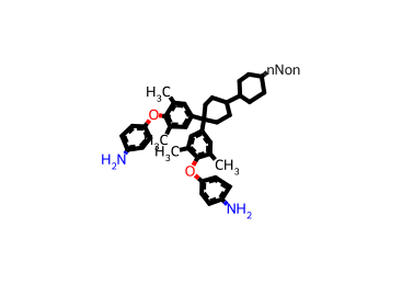 CCCCCCCCCC1CCC(C2CCC(c3cc(C)c(Oc4ccc(N)cc4)c(C)c3)(c3cc(C)c(Oc4ccc(N)cc4)c(C)c3)CC2)CC1